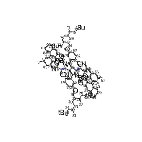 Cc1ccc2oc(/C(C#N)=c3/c4c(-c5cccc(OCC(CCC(C)CC(C)(C)C)C(C)CC(C)(C)C)c5)n(B5Oc6cc7ccccc7cc6O5)/c(=C(/C#N)c5nc6cc(C)ccc6o5)c4c(-c4cccc(OCC(CCC(C)CC(C)(C)C)C(C)CC(C)(C)C)c4)n3B3Oc4cc5ccccc5cc4O3)nc2c1